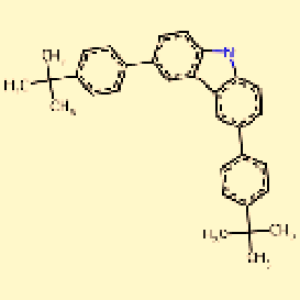 CC(C)(C)c1ccc(-c2ccc3c(c2)-c2cc(-c4ccc(C(C)(C)C)cc4)ccc2[N]3)cc1